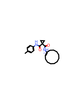 Cc1ccc(NC(=O)C2(C(=O)N/C3=C/CCCCCCCCCC3)CC2)cc1